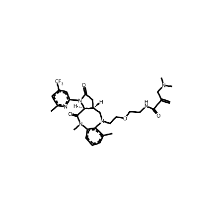 C=C(CN(C)C)C(=O)NCCOCCN1C[C@H]2CC(=O)N(c3cc(C(F)(F)F)cc(C)n3)[C@@H]2C(=O)N(C)c2cccc(C)c21